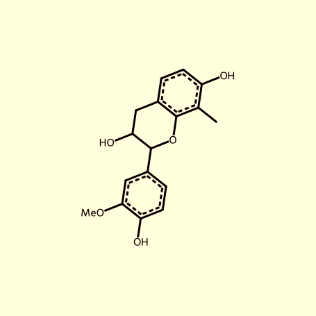 COc1cc(C2Oc3c(ccc(O)c3C)CC2O)ccc1O